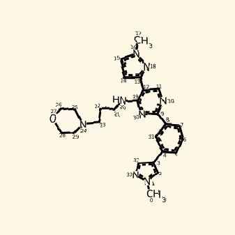 Cn1cc(-c2cccc(-c3ncc(-c4ccn(C)n4)c(NCCCN4CCOCC4)n3)c2)cn1